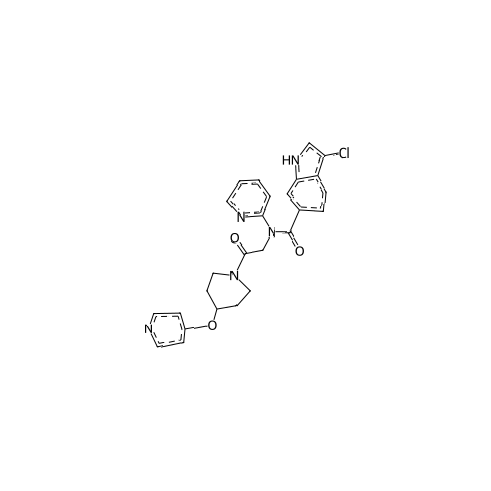 O=C(CN(C(=O)c1ccc2c(Cl)c[nH]c2c1)c1ccccn1)N1CCC(Oc2ccncc2)CC1